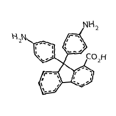 Nc1ccc(C2(c3ccc(N)cc3)c3ccccc3-c3cccc(C(=O)O)c32)cc1